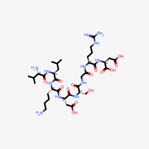 CC(C)C[C@H](NC(=O)[C@@H](N)C(C)C)C(=O)N[C@@H](CCCCN)C(=O)N[C@@H](CC(=O)O)C(=O)N[C@@H](CO)C(=O)NCC(=O)N[C@@H](CCCNC(=N)N)C(=O)N[C@@H](CC(=O)O)C(=O)O